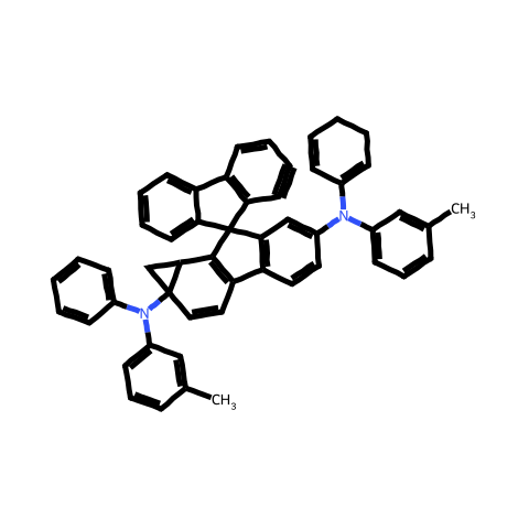 Cc1cccc(N(C2=CCCC=C2)c2ccc3c(c2)C2(C4=C3C=CC3(N(c5ccccc5)c5cccc(C)c5)CC43)c3c#cccc3-c3ccccc32)c1